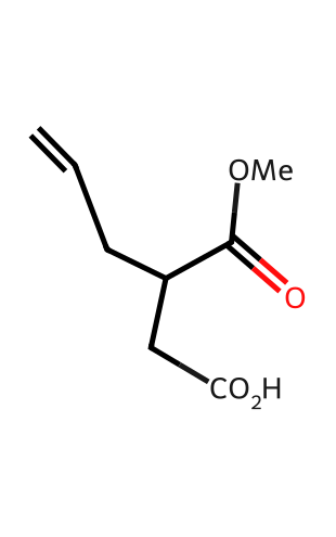 C=CCC(CC(=O)O)C(=O)OC